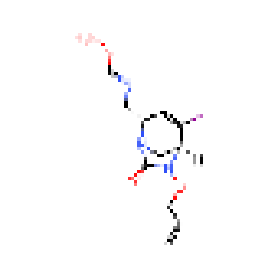 BOC=NC[C@@H]1C=C(I)[C@@H]2CN1C(=O)N2OCC=C